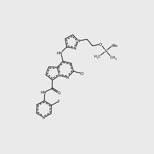 CC(C)(C)[Si](C)(C)OCCn1ccc(Nc2cc(Cl)nn3c(C(=O)Nc4ccncc4F)ccc23)n1